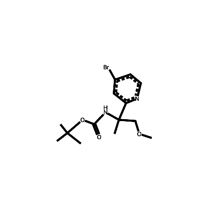 COCC(C)(NC(=O)OC(C)(C)C)c1cc(Br)ccn1